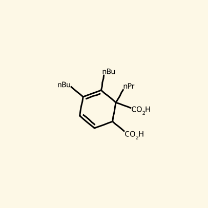 CCCCC1=C(CCCC)C(CCC)(C(=O)O)C(C(=O)O)C=C1